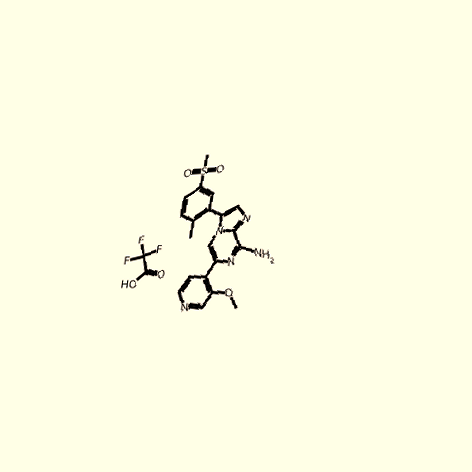 COc1cnccc1-c1cn2c(-c3cc(S(C)(=O)=O)ccc3C)cnc2c(N)n1.O=C(O)C(F)(F)F